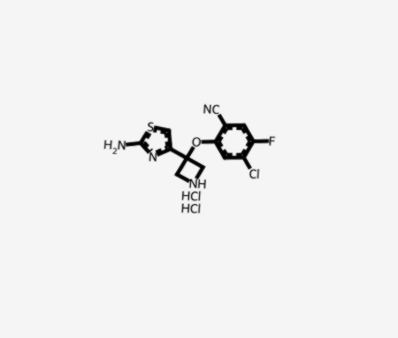 Cl.Cl.N#Cc1cc(F)c(Cl)cc1OC1(c2csc(N)n2)CNC1